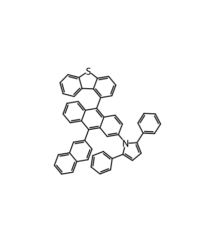 c1ccc(-c2ccc(-c3ccccc3)n2-c2ccc3c(-c4cccc5sc6ccccc6c45)c4ccccc4c(-c4ccc5ccccc5c4)c3c2)cc1